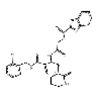 O=C(CNC(=O)c1cc2ccccc2o1)NC(C[C@@H]1CCCNC1=O)C(=O)C(=O)NCc1ccccc1Cl